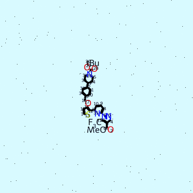 COC(=O)c1cnn(-c2cccc(-c3sccc3OCc3ccc(C4CCN(C(=O)OC(C)(C)C)CC4)cc3)n2)c1C(F)(F)F